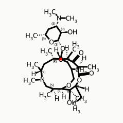 CC[C@H]1OC(=O)[C@H](C)C(=O)[C@H](C)[C@@H](O[C@@H]2O[C@H](C)C[C@H](N(C)C)[C@H]2O)[C@@]2(C)C[C@@H](C)N(C)C[C@H](C)[C@@H](OCC(C)CO2)[C@]1(C)O